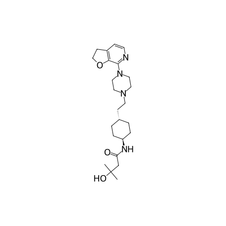 CC(C)(O)CC(=O)N[C@H]1CC[C@H](CCN2CCN(c3nccc4c3OCC4)CC2)CC1